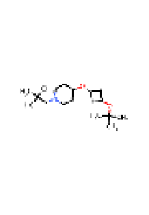 CC(C)(C)CN1CCC(O[C@H]2C[C@H](OC(C)(C)C)C2)CC1